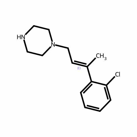 C/C(=C\CN1CCNCC1)c1ccccc1Cl